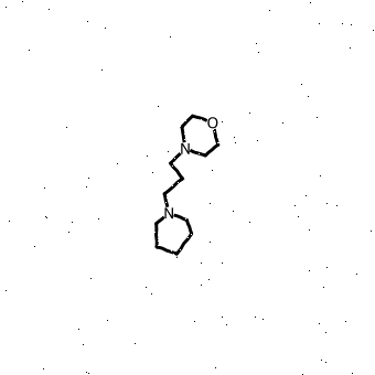 [CH]1CCN(CCCN2CCOCC2)CC1